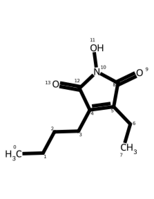 CCCCC1=C(CC)C(=O)N(O)C1=O